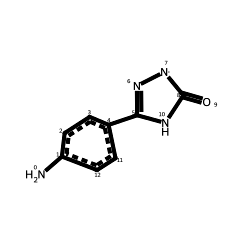 Nc1ccc(C2=N[N]C(=O)N2)cc1